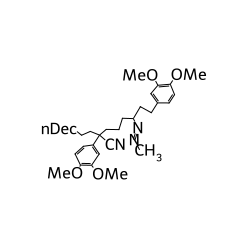 CCCCCCCCCCCCC(C#N)(CCCC(CCc1ccc(OC)c(OC)c1)N=NC)c1ccc(OC)c(OC)c1